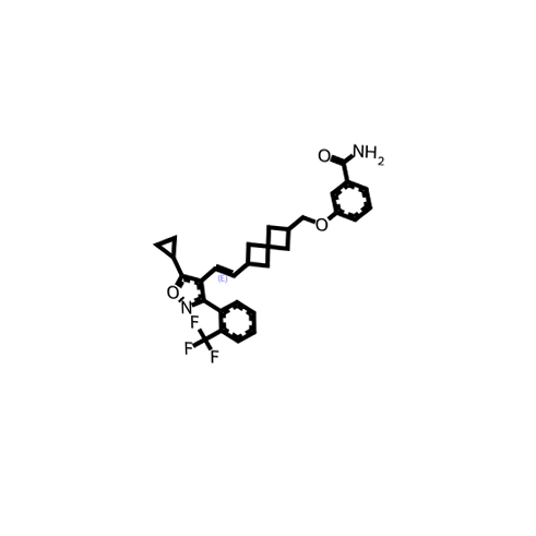 NC(=O)c1cccc(OCC2CC3(CC(/C=C/c4c(-c5ccccc5C(F)(F)F)noc4C4CC4)C3)C2)c1